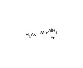 [AlH3].[AsH3].[Fe].[Mn]